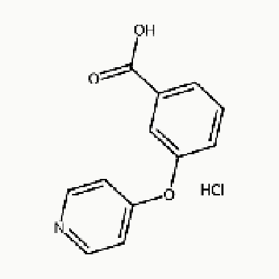 Cl.O=C(O)c1cccc(Oc2ccncc2)c1